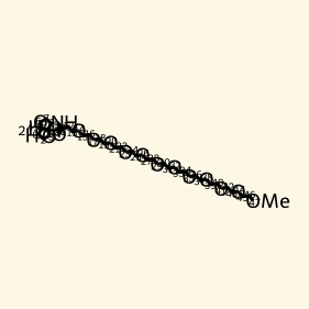 [2H][C@H]1CO[C@H]2[C@@H]1OC[C@@H]2NC(=O)CCOCCOCCOCCOCCOCCOCCOCCOCCOCCOCCOCCOC